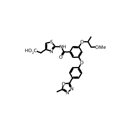 COCC(C)Oc1cc(Oc2ccc(-c3nnc(C)o3)cc2)cc(C(=O)Nc2nc(CC(=O)O)cs2)c1